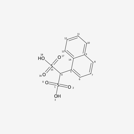 O=S(=O)(O)C(c1cccc2ccccc12)S(=O)(=O)O